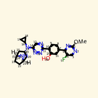 COc1ncc(F)c(-c2ccc(-c3ncc(N(C4CC4)[C@@H]4C[C@H]5CC[C@@H](C4)N5)nn3)c(O)c2)n1